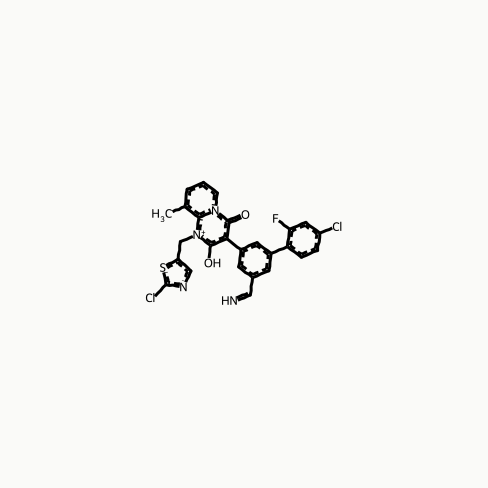 Cc1cccn2c(=O)c(-c3cc(C=N)cc(-c4ccc(Cl)cc4F)c3)c(O)[n+](Cc3cnc(Cl)s3)c12